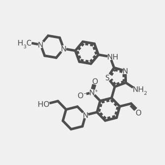 CN1CCN(c2ccc(Nc3nc(N)c(-c4c(C=O)ccc(N5CCCC(CO)C5)c4[N+](=O)[O-])s3)cc2)CC1